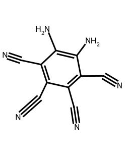 N#Cc1c(N)c(N)c(C#N)c(C#N)c1C#N